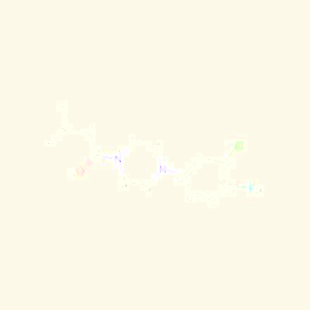 C[C](C)CC(=O)N1CCN(c2ccc(F)c(Cl)c2)CC1